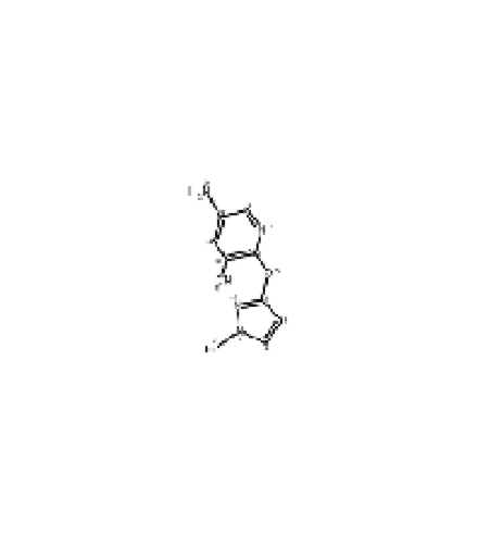 CCn1ccc(Oc2ncc(N)cc2C#N)n1